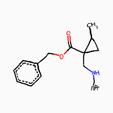 CCCNCC1(C(=O)OCc2ccccc2)CC1C